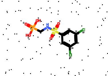 O=P(O)(O)CNS(=O)(=O)c1cc(Cl)cc(Cl)c1